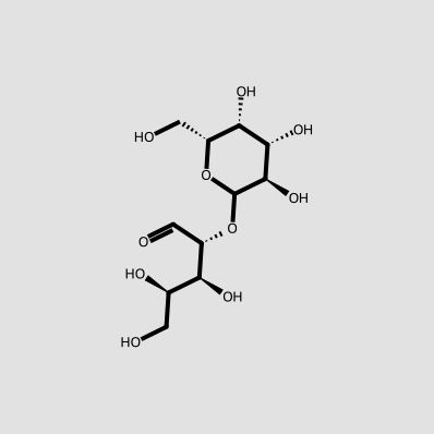 O=C[C@H](OC1O[C@H](CO)[C@H](O)[C@H](O)[C@H]1O)[C@@H](O)[C@H](O)CO